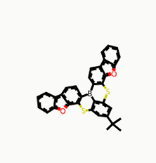 CC(C)(C)c1cc2c3c(c1)Sc1c(ccc4c1oc1ccccc14)B3c1ccc3c(oc4ccccc43)c1S2